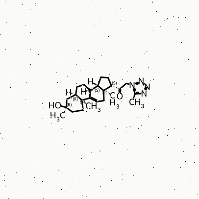 Cc1nnnn1CC(=O)[C@H]1CC[C@H]2[C@@H]3CC[C@@H]4C[C@](C)(O)CC[C@]4(C)C3=CC[C@]12C